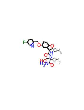 Cc1oc2ccc(OCc3ccc(F)cn3)cc2c1C(=O)NC(C)(CO)C(N)=O